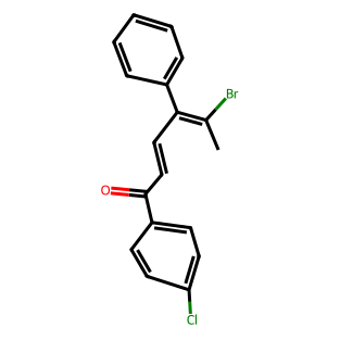 CC(Br)=C(C=CC(=O)c1ccc(Cl)cc1)c1ccccc1